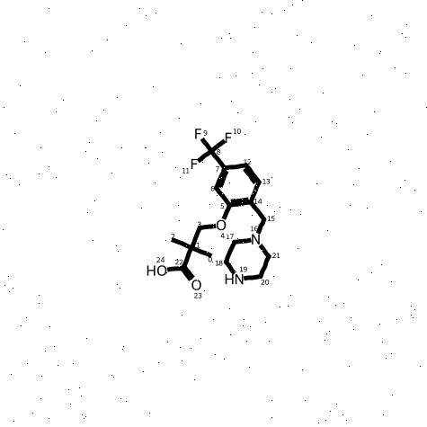 CC(C)(COc1cc(C(F)(F)F)ccc1CN1CCNCC1)C(=O)O